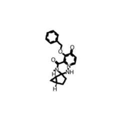 CN1C(=O)c2c(OCc3ccccc3)c(=O)ccn2NC12CC[C@@H]1C[C@@H]12